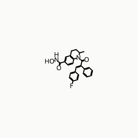 CC1CCc2cc(C(=O)NO)ccc2N1C(=O)C(=Cc1ccc(F)cc1)c1ccccc1